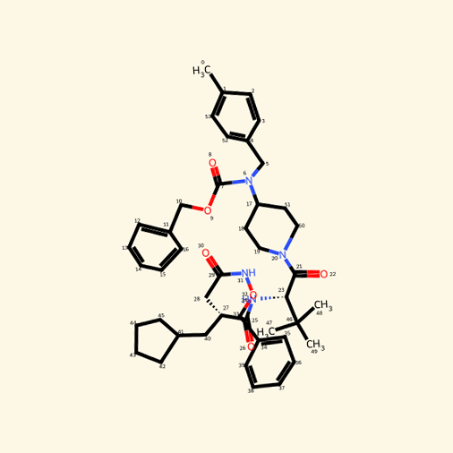 Cc1ccc(CN(C(=O)OCc2ccccc2)C2CCN(C(=O)[C@@H](NC(=O)[C@@H](CC(=O)NOCc3ccccc3)CC3CCCC3)C(C)(C)C)CC2)cc1